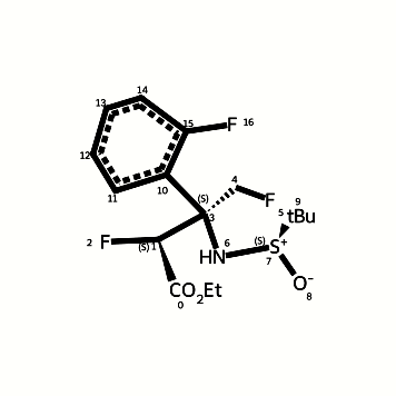 CCOC(=O)[C@@H](F)[C@](CF)(N[S@+]([O-])C(C)(C)C)c1ccccc1F